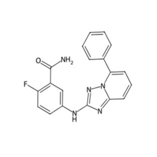 NC(=O)c1cc(Nc2nc3cccc(-c4ccccc4)n3n2)ccc1F